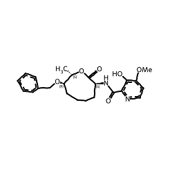 COc1ccnc(C(=O)N[C@H]2CCCC[C@@H](OCc3ccccc3)[C@H](C)OC2=O)c1O